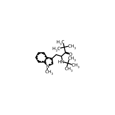 Cn1cc(CC(NC(C)(C)C)C(=O)C(C)(C)C)c2ccccc21